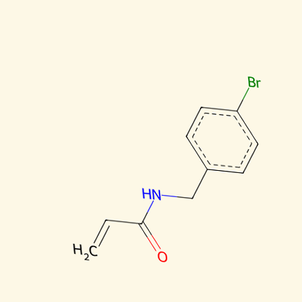 C=CC(=O)NCc1ccc(Br)cc1